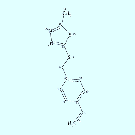 C=Cc1ccc(CSc2nnc(C)s2)cc1